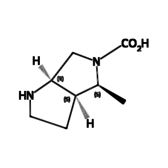 C[C@H]1[C@H]2CCN[C@H]2CN1C(=O)O